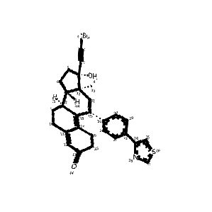 CC(C)(C)C#C[C@]1(O)CC[C@H]2[C@@H]3CCC4=CC(=O)CCC4=C3[C@@H](c3ccc(-c4cscn4)cc3)C[C@@]21C